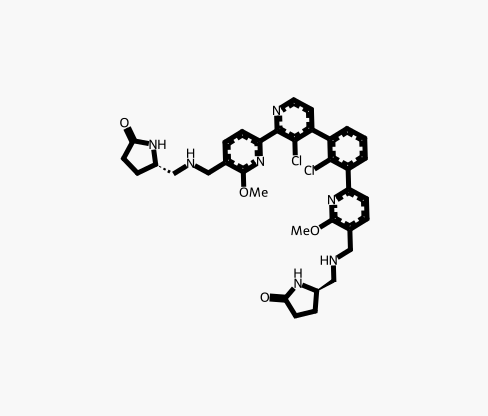 COc1nc(-c2cccc(-c3ccnc(-c4ccc(CNC[C@@H]5CCC(=O)N5)c(OC)n4)c3Cl)c2Cl)ccc1CNC[C@H]1CCC(=O)N1